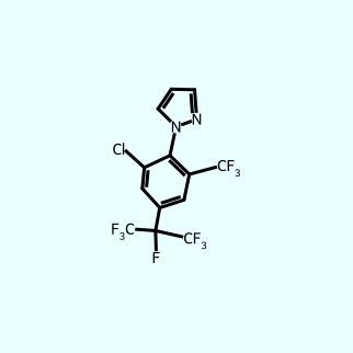 FC(F)(F)c1cc(C(F)(C(F)(F)F)C(F)(F)F)cc(Cl)c1-n1cccn1